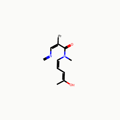 C=N/C=C(\C(=O)N(C)/C=C\C=C(/C)O)C(C)C